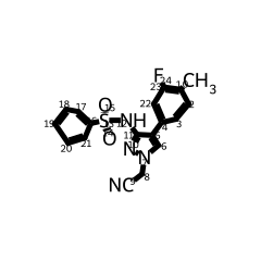 Cc1ccc(-c2cn(CC#N)nc2NS(=O)(=O)c2ccccc2)cc1F